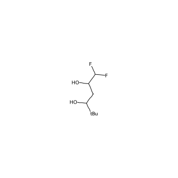 CC(C)(C)C(O)CC(O)C(F)F